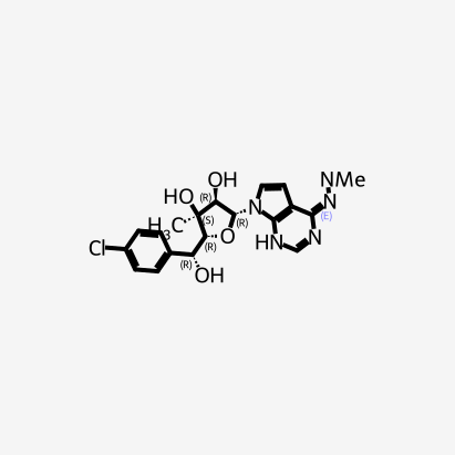 CN/N=c1/nc[nH]c2c1ccn2[C@@H]1O[C@H]([C@H](O)c2ccc(Cl)cc2)[C@@](C)(O)[C@H]1O